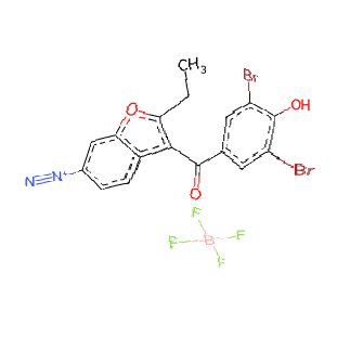 CCc1oc2cc([N+]#N)ccc2c1C(=O)c1cc(Br)c(O)c(Br)c1.F[B-](F)(F)F